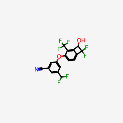 N#Cc1cc(OC2=C=C=C3C(=C2C(F)(F)F)C(O)C3(F)F)cc(C(F)F)c1